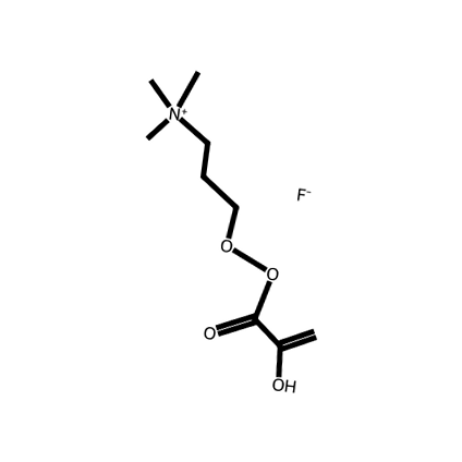 C=C(O)C(=O)OOCCC[N+](C)(C)C.[F-]